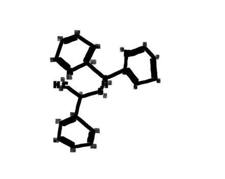 CC(S[SH](c1ccccn1)c1ccccn1)c1ccccc1